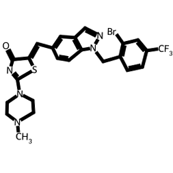 CN1CCN(C2=NC(=O)/C(=C/c3ccc4c(cnn4Cc4ccc(C(F)(F)F)cc4Br)c3)S2)CC1